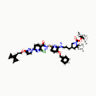 CC(C)(C)OC(=O)N1CC(CCCNc2nc(SNC(=O)c3ccc(-n4ccc(OCCC5C6(CC6)C56CC6)n4)nc3Cl)ccc2OCc2ccccc2)CC1(C)C